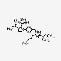 CCCCc1nc(C(C)CC)nn1Cc1ccc(-n2ccc(C(C)C)c2-c2nnn[nH]2)cc1